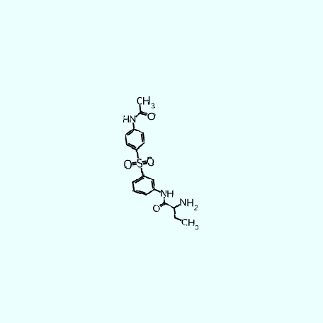 CCC(N)C(=O)Nc1cccc(S(=O)(=O)c2ccc(NC(C)=O)cc2)c1